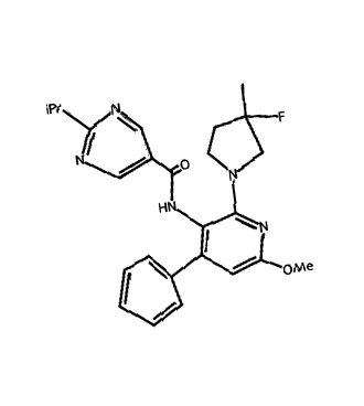 COc1cc(-c2ccccc2)c(NC(=O)c2cnc(C(C)C)nc2)c(N2CCC(C)(F)C2)n1